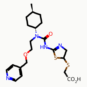 C[C@H]1CC[C@H](N(CCOCc2ccncc2)C(=O)NC2=NCC(SCC(=O)O)S2)CC1